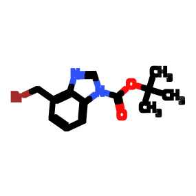 CC(C)(C)OC(=O)n1cnc2c(CBr)cccc21